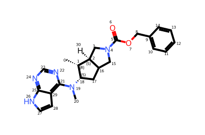 C[C@@H]1[C@H]2CN(C(=O)OCc3ccccc3)CC2C[C@@H]1N(C)c1ncnc2[nH]ccc12